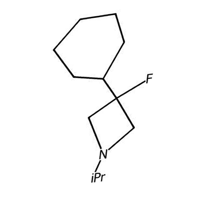 CC(C)N1CC(F)(C2CCCCC2)C1